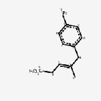 CC(=CCC(=O)O)Cc1ccc(C(C)C)cc1